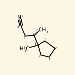 CC(CC#N)C1(C)CCCC1